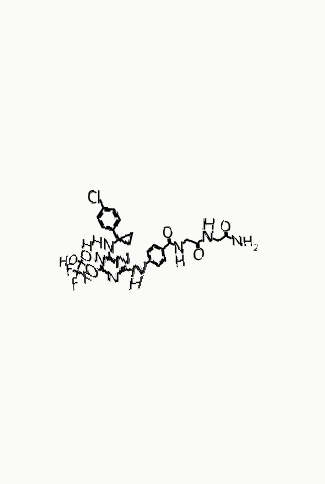 NC(=O)CNC(=O)CNC(=O)c1ccc(Nc2nc(NC3(c4ccc(Cl)cc4)CC3)nc(OC(O)(O)C(F)(F)F)n2)cc1